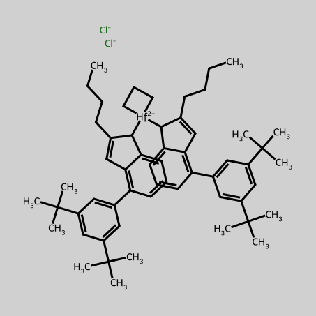 CCCCC1=Cc2c(-c3cc(C(C)(C)C)cc(C(C)(C)C)c3)cccc2[CH]1[Hf+2]1([CH]2C(CCCC)=Cc3c(-c4cc(C(C)(C)C)cc(C(C)(C)C)c4)cccc32)[CH2]C[CH2]1.[Cl-].[Cl-]